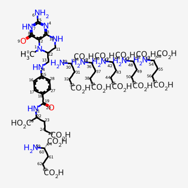 CN1c2c(nc(N)[nH]c2=O)NCC1CNc1ccc(C(=O)NC(CCC(=O)O)C(=O)O)cc1.N[C@@H](CCC(=O)O)C(=O)O.N[C@@H](CCC(=O)O)C(=O)O.N[C@@H](CCC(=O)O)C(=O)O.N[C@@H](CCC(=O)O)C(=O)O.N[C@@H](CCC(=O)O)C(=O)O.N[C@@H](CCC(=O)O)C(=O)O